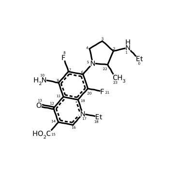 CCNC1CCN(c2c(F)c(N)c3c(=O)c(C(=O)O)cn(CC)c3c2F)C1C